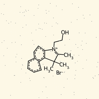 CC1=[N+](CCO)c2ccc3ccccc3c2C1(C)C.[Br-]